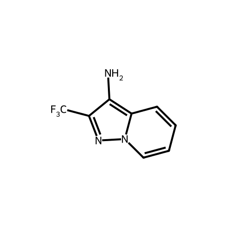 Nc1c(C(F)(F)F)nn2ccccc12